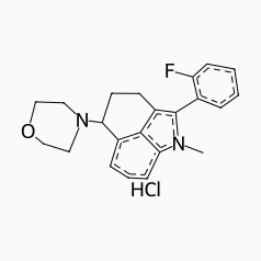 Cl.Cn1c(-c2ccccc2F)c2c3c(cccc31)C(N1CCOCC1)CC2